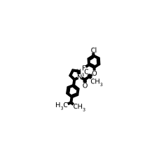 CC(C)c1ccc(C2CCCN2C(=O)C(C)(C)Oc2ccc(Cl)cc2F)cc1